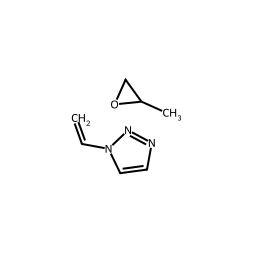 C=Cn1ccnn1.CC1CO1